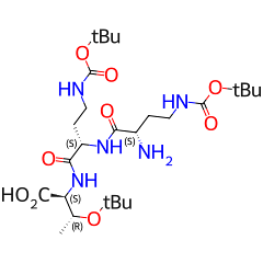 C[C@@H](OC(C)(C)C)[C@H](NC(=O)[C@H](CCNC(=O)OC(C)(C)C)NC(=O)[C@@H](N)CCNC(=O)OC(C)(C)C)C(=O)O